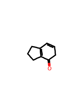 O=C1CC=CC2=C1CCC2